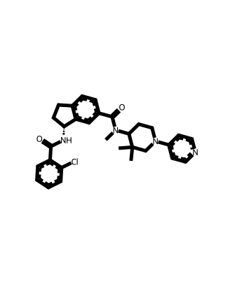 CN(C(=O)c1ccc2c(c1)[C@H](NC(=O)c1ccccc1Cl)CC2)C1CCN(c2ccncc2)CC1(C)C